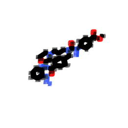 COC(=O)c1ccc(NC(=O)N(CCCN2CCOCC2)Cc2ccc(C(=O)Nc3ccccc3N)cc2)cc1